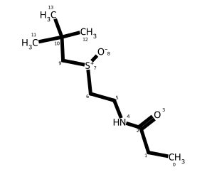 CCC(=O)NCC[S+]([O-])CC(C)(C)C